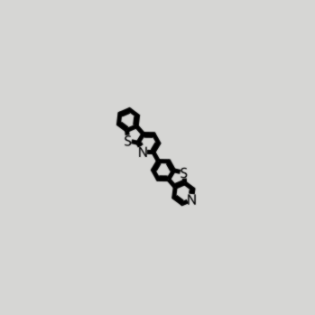 c1ccc2c(c1)sc1nc(-c3ccc4c(c3)sc3cnccc34)ccc12